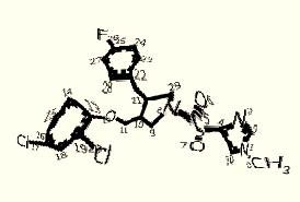 Cn1cnc(S(=O)(=O)N2CC(COc3ccc(Cl)cc3Cl)C(c3ccc(F)cc3)C2)c1